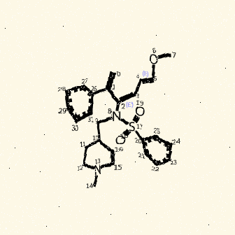 C=C(/C(=C\C=C\OC)N(CC1CCN(C)CC1)S(=O)(=O)c1ccccc1)c1ccccc1